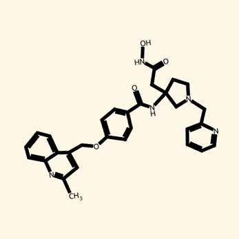 Cc1cc(COc2ccc(C(=O)NC3(CC(=O)NO)CCN(Cc4ccccn4)C3)cc2)c2ccccc2n1